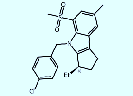 CC[C@@H]1CCc2c1n(Cc1ccc(Cl)cc1)c1c(S(C)(=O)=O)cc(C)cc21